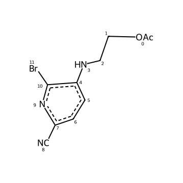 CC(=O)OCCNc1ccc(C#N)nc1Br